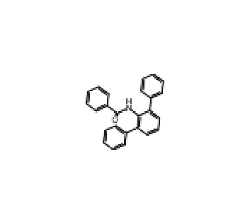 O=C(Nc1c(-c2ccccc2)cccc1-c1ccccc1)c1ccccc1